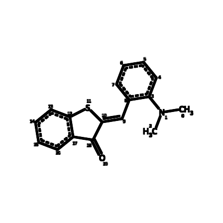 CN(C)c1ccccc1C=C1Sc2ccccc2C1=O